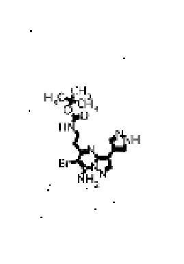 CC(C)(C)OC(=O)NCCc1nc2c(-c3cn[nH]c3)cnn2c(N)c1Br